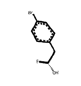 O[C@H](F)Cc1ccc(Br)cc1